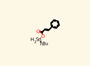 CCC[CH2][SnH2][O]C(=O)C=Cc1ccccc1